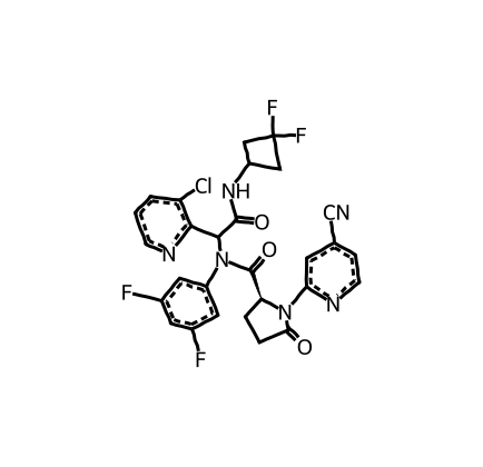 N#Cc1ccnc(N2C(=O)CC[C@H]2C(=O)N(c2cc(F)cc(F)c2)C(C(=O)NC2CC(F)(F)C2)c2ncccc2Cl)c1